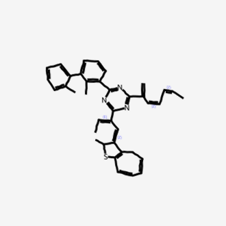 C=C(/C=C\C=C/C)c1nc(C(/C=C2/C3=C(C=CC=CC3)SC2C)=C/C)nc(-c2cccc(-c3ccccc3C)c2C)n1